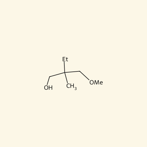 CCC(C)(CO)COC